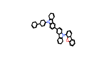 C1=CCCC(C2CC=C(n3c4c(c5cc(C6=CC7C8=C(CCC=C8)N(C8=CC=CC9c%10ccccc%10OC89)C7C=C6)ccc53)C=CCC4)CC2)=C1